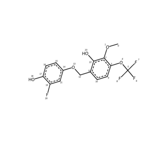 COc1c(OC(F)(F)F)ccc(COc2ccc(O)c(F)c2)c1O